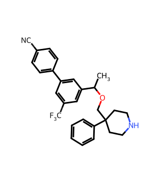 CC(OCC1(c2ccccc2)CCNCC1)c1cc(-c2ccc(C#N)cc2)cc(C(F)(F)F)c1